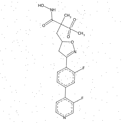 CC(CC1CC(c2ccc(-c3ccncc3F)cc2F)=NO1)(C(=O)NO)S(C)(=O)=O